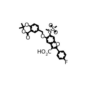 CN(c1cc2oc(-c3ccc(F)cc3)c(C(=O)O)c2cc1OCc1ccc2c(c1)C(=O)OC(C)(C)O2)S(C)(=O)=O